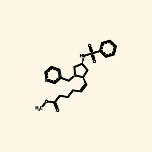 COC(=O)CCC/C=C\[C@@H]1C[C@@H](NS(=O)(=O)c2ccccc2)CN1Cc1cccnc1